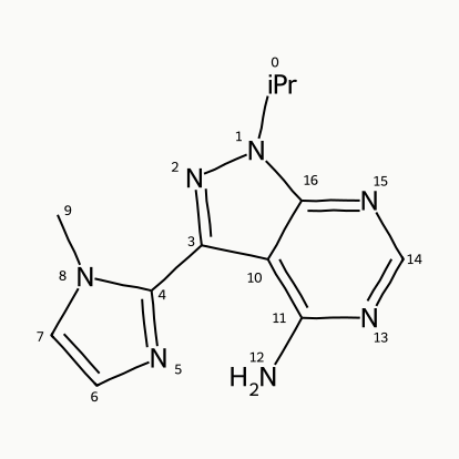 CC(C)n1nc(-c2nccn2C)c2c(N)ncnc21